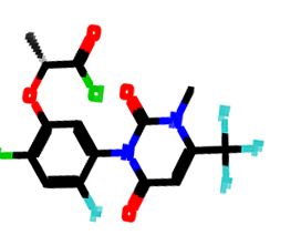 C[C@@H](Oc1cc(-n2c(=O)cc(C(F)(F)F)n(C)c2=O)c(F)cc1Cl)C(=O)Cl